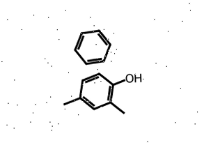 Cc1ccc(O)c(C)c1.c1ccccc1